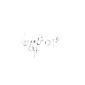 Cc1ncc(-c2ccc3[nH]nc(-c4cc5c(-c6cc(F)cc(CNS(C)(=O)=O)c6)cncc5[nH]4)c3n2)n1C